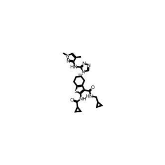 Cc1cn(C)nc1Nc1nncn1[C@H]1CCc2sc(NC(=O)C3CC3)c(C(=O)NCC3CC3)c2C1